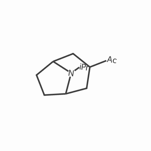 CC(=O)C1CC2CCC(C1)N2C(C)C